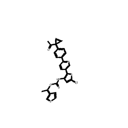 CC(=O)C1(c2ccc(-c3ccc(-c4sc(Cl)cc4NC(=O)OC(C)c4ccsc4)cn3)cc2)CC1